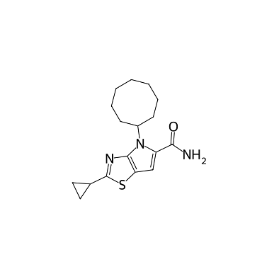 NC(=O)c1cc2sc(C3CC3)nc2n1C1CCCCCCC1